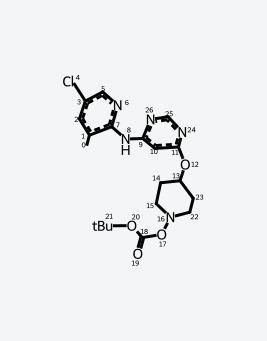 Cc1cc(Cl)cnc1Nc1cc(OC2CCN(OC(=O)OC(C)(C)C)CC2)ncn1